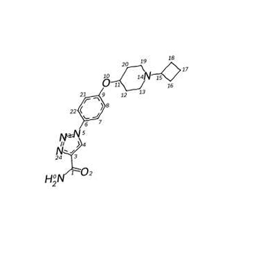 NC(=O)c1cn(-c2ccc(OC3CCN(C4CCC4)CC3)cc2)nn1